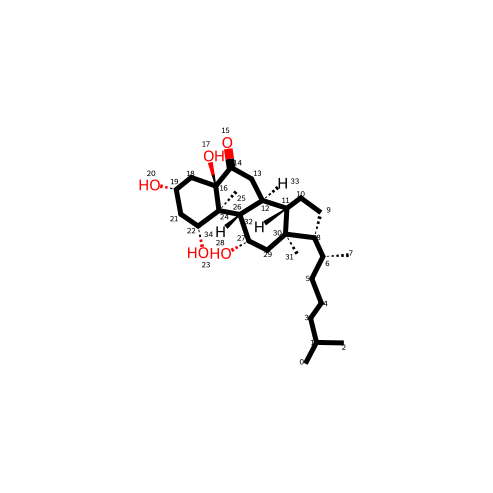 CC(C)CCC[C@@H](C)[C@H]1CC[C@H]2[C@@H]3CC(=O)[C@@]4(O)C[C@@H](O)C[C@@H](O)[C@]4(C)[C@H]3[C@@H](O)C[C@]12C